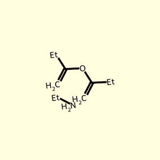 C=C(CC)OC(=C)CC.CCN